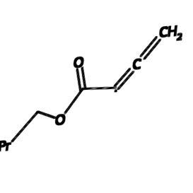 C=C=[C]C(=O)OCCCC